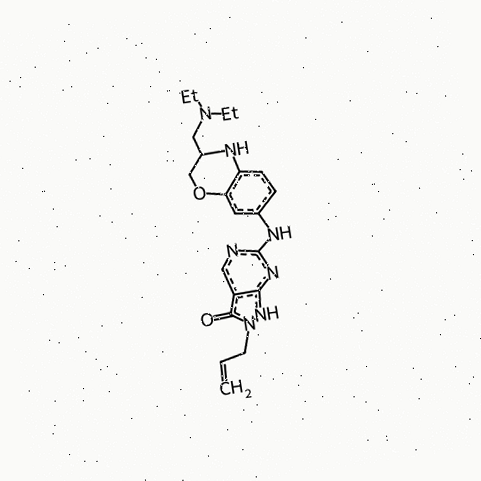 C=CCn1[nH]c2nc(Nc3ccc4c(c3)OCC(CN(CC)CC)N4)ncc2c1=O